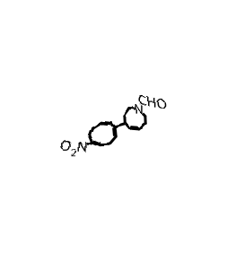 O=CN1CCC=CC(C2=CC/C=C(/[N+](=O)[O-])CC/C=C\2)CC1